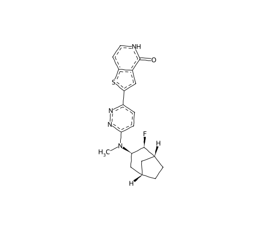 CN(c1ccc(-c2cc3c(=O)[nH]ccc3s2)nn1)[C@@H]1C[C@H]2CC[C@H](C2)[C@@H]1F